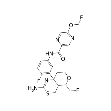 NC1=NC2(c3cc(NC(=O)c4cnc(OCF)cn4)ccc3F)CCOC(CF)C2CS1